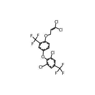 FC(F)(F)c1cc(Cl)c(Oc2ccc(OCC=C(Cl)Cl)c(C(F)(F)F)c2)c(Cl)c1